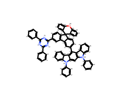 c1ccc(-c2nc(-c3ccccc3)nc(-c3ccc4c(c3)-c3cc(-c5c6c7ccccc7n(-c7ccccc7)c6cc6c5c5ccccc5n6-c5ccccc5)ccc3C43c4ccccc4Oc4ccccc43)n2)cc1